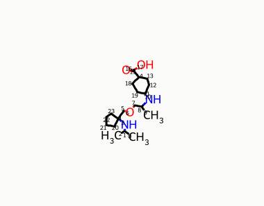 CC(C)NC1(COCC(C)NC2CCC(C(=O)O)CC2)CCCC1